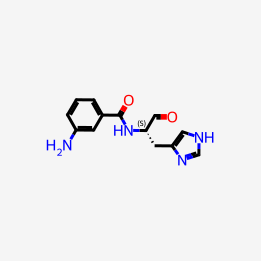 Nc1cccc(C(=O)N[C@H](C=O)Cc2c[nH]cn2)c1